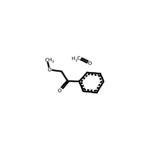 C=O.COCC(=O)c1ccccc1